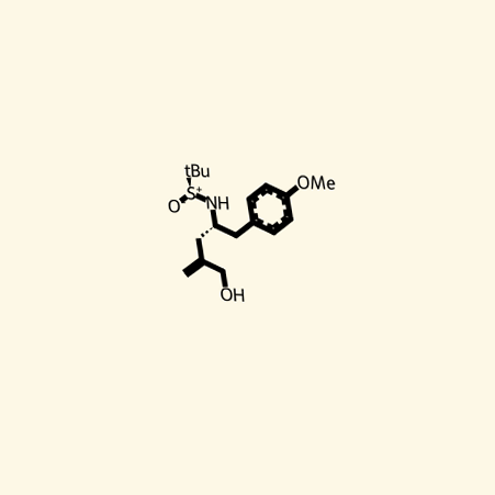 C=C(CO)C[C@@H](Cc1ccc(OC)cc1)N[S@@+]([O-])C(C)(C)C